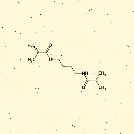 C=C(C)C(=O)OCCCCNC(=O)C(C)C